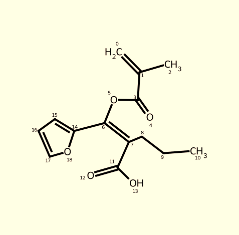 C=C(C)C(=O)OC(=C(CCC)C(=O)O)c1ccco1